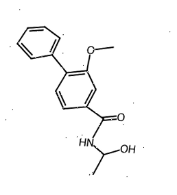 [CH2]C(O)NC(=O)c1ccc(-c2ccccc2)c(OC)c1